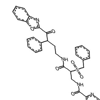 O=C(NCC(C(=O)NCCC(C(=O)c1nc2ccccc2o1)c1ccccc1)S(=O)(=O)Cc1ccccc1)c1cnccn1